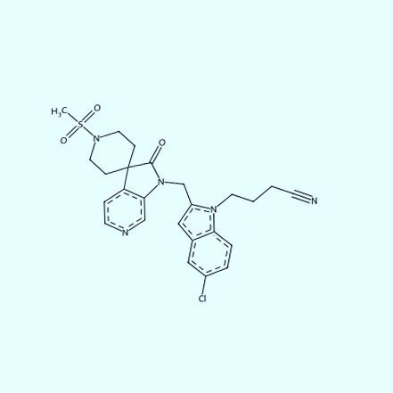 CS(=O)(=O)N1CCC2(CC1)C(=O)N(Cc1cc3cc(Cl)ccc3n1CCCC#N)c1cnccc12